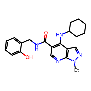 CCn1ncc2c(NC3CCCCC3)c(C(=O)NCc3ccccc3O)cnc21